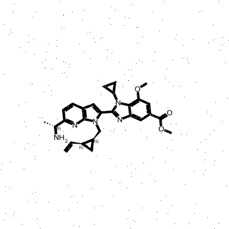 C=C[C@@H]1C[C@@H]1Cn1c(-c2nc3cc(C(=O)OC)cc(OC)c3n2C2CC2)cc2ccc([C@@H](C)N)nc21